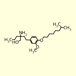 CCCC(N)(CO)CCc1ccc(OCCCCCCC(C)C)c(OC)c1